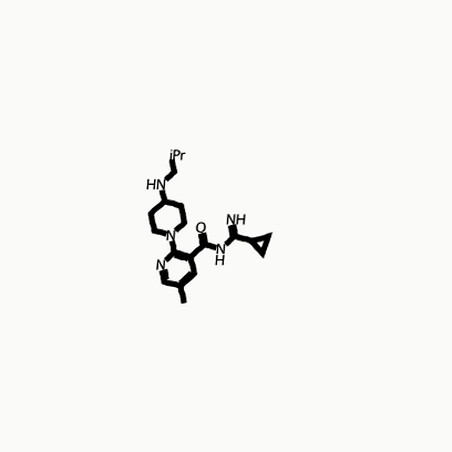 Cc1cnc(N2CCC(NCC(C)C)CC2)c(C(=O)NC(=N)C2CC2)c1